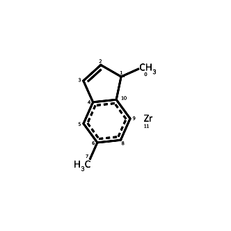 C[C]1C=Cc2cc(C)ccc21.[Zr]